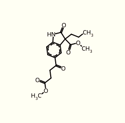 CCCC1(C(=O)OC)C(=O)Nc2ccc(C(=O)CCC(=O)OC)cc21